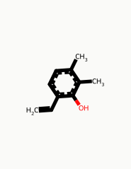 C=Cc1ccc(C)c(C)c1O